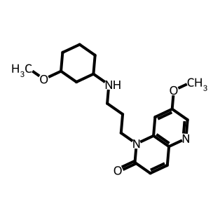 COc1cnc2ccc(=O)n(CCCNC3CCCC(OC)C3)c2c1